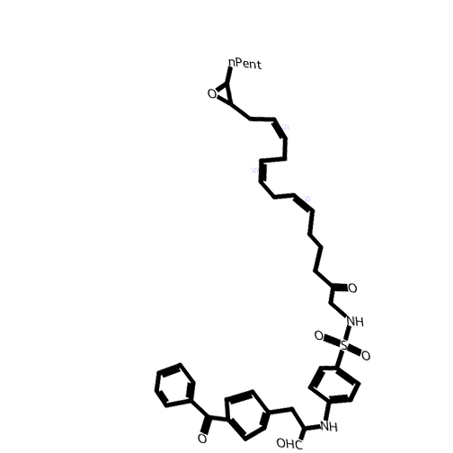 CCCCCC1OC1C/C=C\C/C=C\C/C=C\CCCC(=O)CNS(=O)(=O)c1ccc(NC(C=O)Cc2ccc(C(=O)c3ccccc3)cc2)cc1